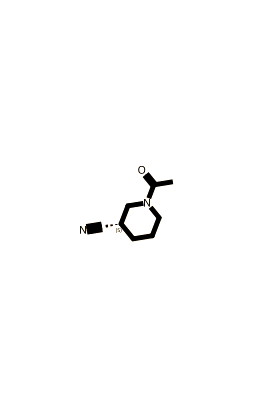 CC(=O)N1CCC[C@H](C#N)C1